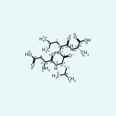 CC(C)C[C@H](NC(=O)[C@H](CC(C)C)NC(=O)[C@@H](N)CC(=O)O)C(=O)N[C@@H](C)C(=O)O